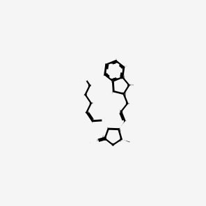 O=C(O)CCC/C=C\C[C@H]1C(=O)C[C@H](F)[C@@H]1/C=C/CC1Cc2ccccc2C1